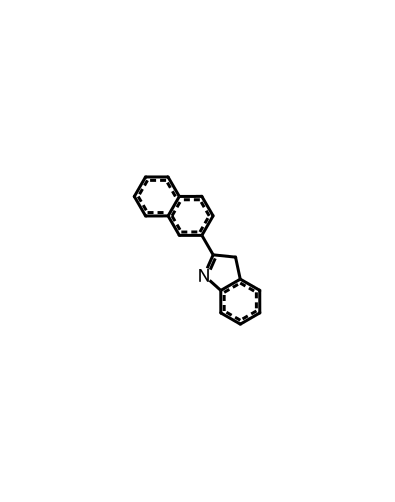 c1ccc2c(c1)CC(c1ccc3ccccc3c1)=N2